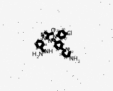 N=C(N)c1cccc(-n2ncc3c(=O)n(-c4ccc(Cl)cc4)c(-c4ccc(-c5ccc(N)cn5)cc4)nc32)c1